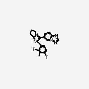 Cc1c(F)ccc(-c2nc3n(c2-c2ccc4ncnn4c2)CCC3)c1F